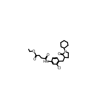 CCOC(=O)CCC(=O)Nc1ccc(CC2CCN(C3CCCCC3)C2=O)c(Cl)c1